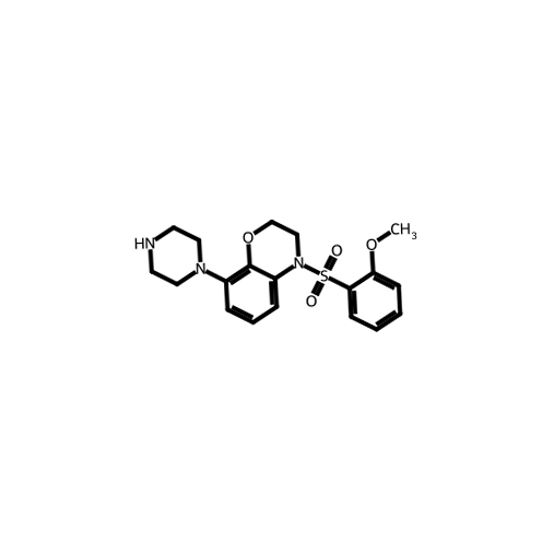 COc1ccccc1S(=O)(=O)N1CCOc2c(N3CCNCC3)cccc21